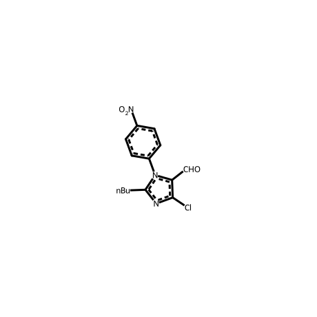 CCCCc1nc(Cl)c(C=O)n1-c1ccc([N+](=O)[O-])cc1